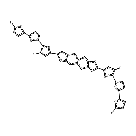 Fc1ccc(-c2ccc(-c3sc(-c4cc5cc6cc7sc(-c8cc(F)c(-c9ccc(-c%10ccc(F)s%10)s9)s8)cc7cc6cc5s4)cc3F)s2)s1